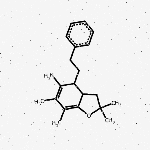 CC1=C(N)C(CCc2ccccc2)C2CC(C)(C)OC2=C1C